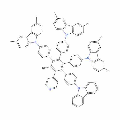 Cc1ccc2c(c1)c1cc(C)ccc1n2-c1ccc(-c2c(C#N)c(-c3ccncc3)c(-c3ccc(-n4c5ccccc5c5ccccc54)cc3)c(-c3ccc(-n4c5ccc(C)cc5c5cc(C)ccc54)cc3)c2-c2ccc(-n3c4ccc(C)cc4c4cc(C)ccc43)cc2)cc1